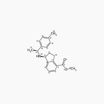 COC(=O)c1cccc2c1CC[C@@H]2N[C@@H](C)c1ccc(C)cc1